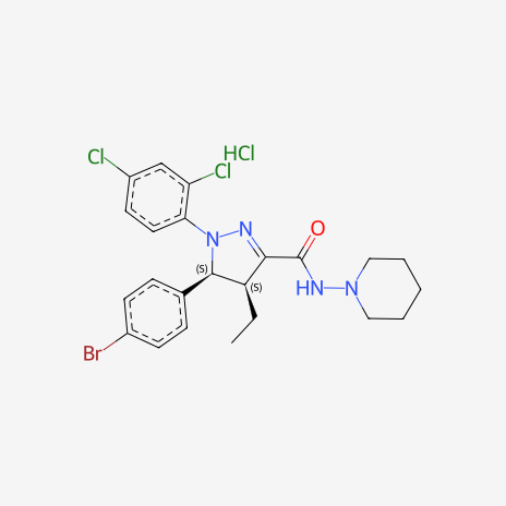 CC[C@@H]1C(C(=O)NN2CCCCC2)=NN(c2ccc(Cl)cc2Cl)[C@@H]1c1ccc(Br)cc1.Cl